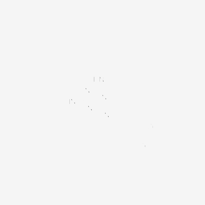 COc1cc2c(cc1OC)CN(c1nc(NCc3ccccc3)nc(NC3CCCCC3)n1)CC2